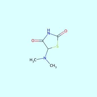 CN(C)C1SC(=O)NC1=O